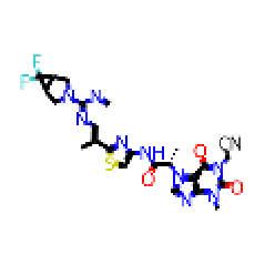 C=N/C(=N\C=C(/C)c1nc(NC(=O)[C@H](C)n2cnc3c2c(=O)n(CC#N)c(=O)n3C)cs1)N1CC2C(C1)C2(F)F